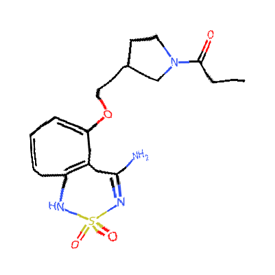 CCC(=O)N1CCC(COc2cccc3c2C(N)=NS(=O)(=O)N3)C1